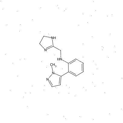 Cn1nccc1-c1ccccc1NCC1=NCCN1